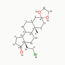 C[C@]12CCC3(CC1CCC1C4CCC(=O)[C@@]4(CCBr)CCC12)OCCO3